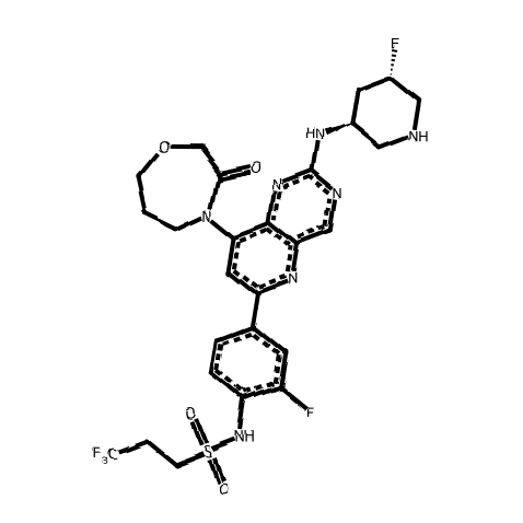 O=C1COCCCN1c1cc(-c2ccc(NS(=O)(=O)CCC(F)(F)F)c(F)c2)nc2cnc(N[C@@H]3CNC[C@@H](F)C3)nc12